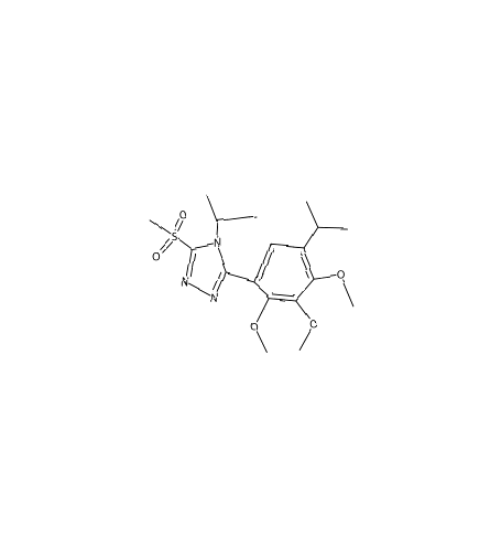 COc1c(-c2nnc(S(C)(=O)=O)n2C(C)C)cc(C(C)C)c(OC)c1OC